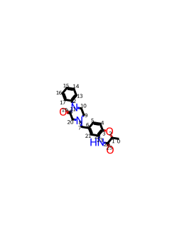 CC1Oc2ccc(CN3CCN(c4ccccc4)C(=O)C3)cc2NC1=O